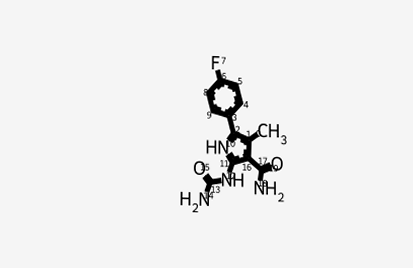 Cc1c(-c2ccc(F)cc2)[nH]c(NC(N)=O)c1C(N)=O